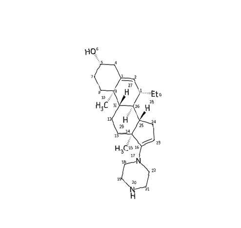 CC[C@H]1C=C2C[C@@H](O)CC[C@]2(C)[C@H]2CC[C@]3(C)C(N4CCNCC4)=CC[C@H]3[C@H]12